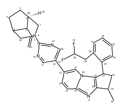 C=CC1C2CC[C@H]1CN(c1ncc(-c3ccc4nc5c(n4c3)C(c3ccccc3CC(F)F)CC5C)cn1)C2